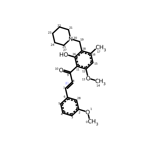 COc1cccc(/C=C/C(=O)c2c(OC)cc(C)c(CN3CCCCC3)c2O)c1